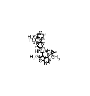 Cc1oc2ncnc(NC3(C)CC3)c2c1C(=O)Nc1cnc(N2CCOCC2(C)C)nc1